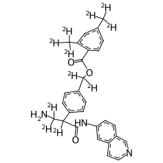 [2H]C([2H])([2H])c1ccc(C(=O)OC([2H])([2H])c2ccc(C([2H])(C(=O)Nc3ccc4cnccc4c3)C([2H])([2H])N)cc2)c(C([2H])([2H])[2H])c1